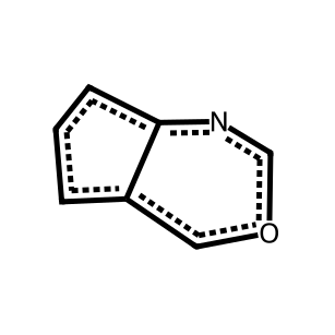 c1cc2cocnc-2c1